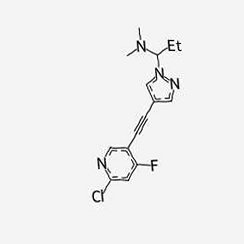 CCC(N(C)C)n1cc(C#Cc2cnc(Cl)cc2F)cn1